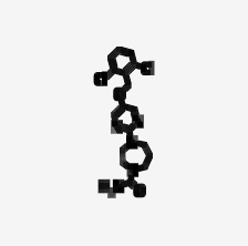 NC(=O)N1CCCN(c2ncc(OCc3c(Cl)cccc3Cl)cn2)CC1